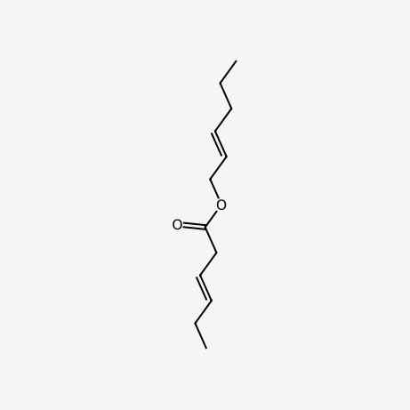 CCC=CCC(=O)OCC=CCCC